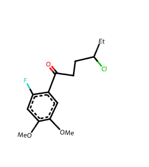 CCC(Cl)CCC(=O)c1cc(OC)c(OC)cc1F